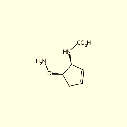 NO[C@@H]1CC=C[C@@H]1NC(=O)O